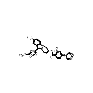 Cc1ccc2c(c1)c(-c1noc(C)n1)c1n2C[C@H](NC(=O)c2ccc(-n3cnnc3)cc2Cl)CC1